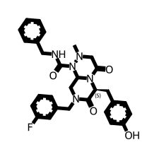 CN1CC(=O)N2C(CN(Cc3cccc(F)c3)C(=O)[C@@H]2Cc2ccc(O)cc2)N1C(=O)NCc1ccccc1